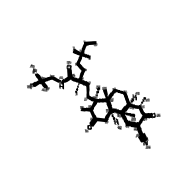 CCC(C)(C)CC[C@@](C)(CC[C@]1(C)C(C)C(=O)C[C@@H]2[C@@]3(C)C=C(C#N)C(=O)[C@@H](C)[C@@H]3CC[C@]21C)C(=O)NCC(F)(F)F